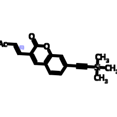 CC(=O)/C=C/c1cc2ccc(C#C[Si](C)(C)C)cc2oc1=O